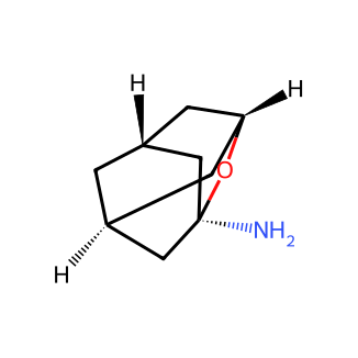 N[C@]12C[C@@H]3C[C@@H](C[C@H](C3)O1)C2